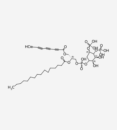 C#CC#CC#CC#CC(=O)OC[C@H](COP(=O)(O)OC1C[C@@H](OP(=O)(O)O)C(OP(=O)(O)O)[C@@H](O)[C@H]1O)OC(=O)CCCCCCCCCCCCCCC